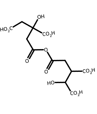 O=C(O)CC(O)(CC(=O)OC(=O)CC(C(=O)O)C(O)C(=O)O)C(=O)O